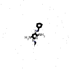 Nc1cc(/N=C/c2ccccc2)c(N)nc1/N=C/I